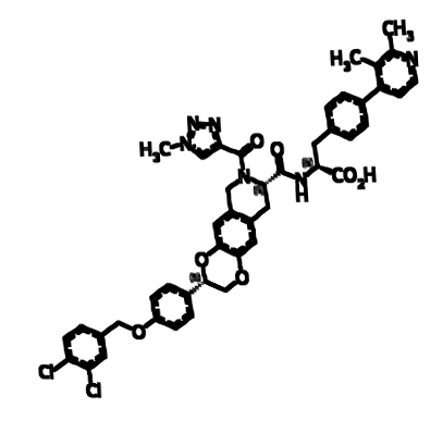 Cc1nccc(-c2ccc(C[C@H](NC(=O)[C@@H]3Cc4cc5c(cc4CN3C(=O)c3cn(C)nn3)O[C@@H](c3ccc(OCc4ccc(Cl)c(Cl)c4)cc3)CO5)C(=O)O)cc2)c1C